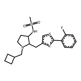 CS(=O)(=O)NC1CCN(CC2CCC2)C1Cc1csc(-c2ccccc2F)n1